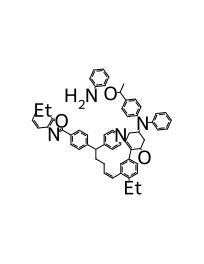 C/C=C\c1nc(-c2ccc(C(CC/C=C\c3cc4c(cc3CC)OC3CC(N(c5ccccc5)c5ccc(C(C)Oc6ccccc6N)cc5)CC=C43)c3ccncc3)cc2)oc1CC